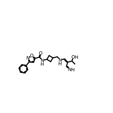 CC(O)/C(C=N)=C/NCC1CC(NC(=O)c2cc(-c3ccccc3)no2)C1